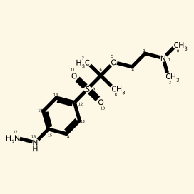 CN(C)CCOC(C)(C)S(=O)(=O)c1ccc(NN)cc1